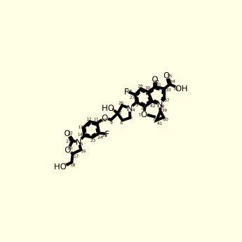 COc1c(N2CCC(O)(COc3ccc(N4CC(CO)OC4=O)cc3F)C2)c(F)cc2c(=O)c(C(=O)O)cn(C3CC3)c12